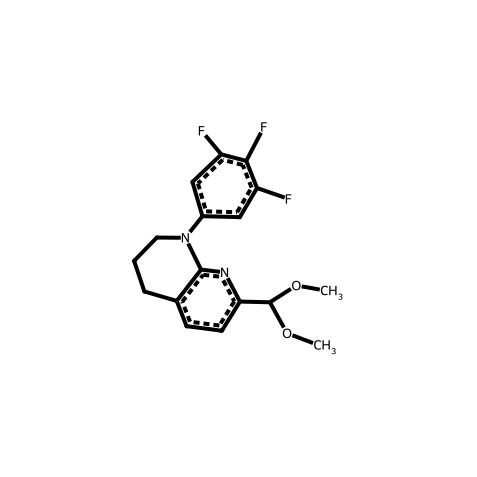 COC(OC)c1ccc2c(n1)N(c1cc(F)c(F)c(F)c1)CCC2